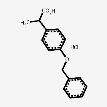 CC(C(=O)O)c1ccc(OCc2ccccc2)cc1.Cl